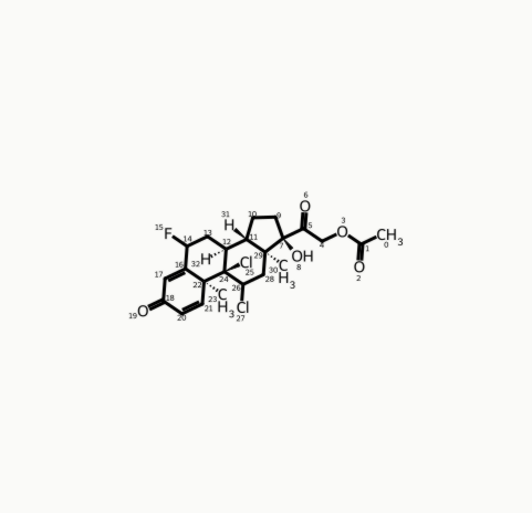 CC(=O)OCC(=O)[C@@]1(O)CC[C@H]2[C@@H]3CC(F)C4=CC(=O)C=C[C@]4(C)[C@@]3(Cl)C(Cl)C[C@@]21C